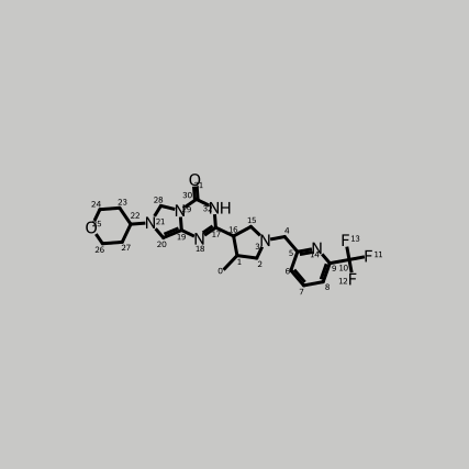 CC1CN(Cc2cccc(C(F)(F)F)n2)CC1C1=NC2=CN(C3CCOCC3)CN2C(=O)N1